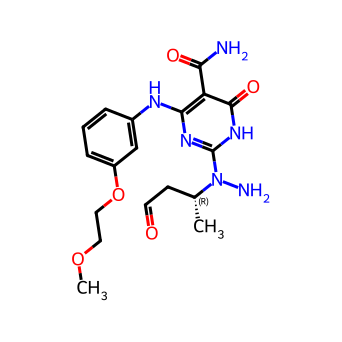 COCCOc1cccc(Nc2nc(N(N)[C@H](C)CC=O)[nH]c(=O)c2C(N)=O)c1